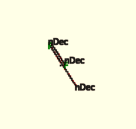 CCCCCCCCCCCCCCCCCCCCCCCCCCCCC[C](CCCCCCCCCCCCCCCCCF)C(F)C(CCCCCCCCCCCC)CCCCCCCCCCCCCCCCCCCCCCCCCCCCC